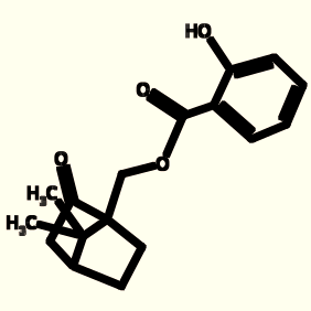 CC1(C)C2CCC1(COC(=O)c1ccccc1O)C(=O)C2